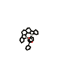 c1ccc(-c2cnc(-n3c4ccccc4c4ccc5ccc6c7ccccc7n(-c7ccccc7)c6c5c43)nc2)cc1